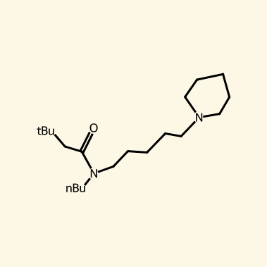 CCCCN(CCCCCN1CCCCC1)C(=O)CC(C)(C)C